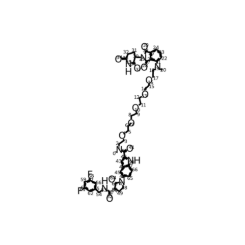 CN(CCOCCOCCOCCOCCOCCN(C)c1cccc2c1C(=O)N(C1CCC(=O)NC1=O)C2=O)C(=O)c1cc2cc(N3CC[C@H](C(=O)NCc4cc(F)cc(F)c4)C3=O)ccc2[nH]1